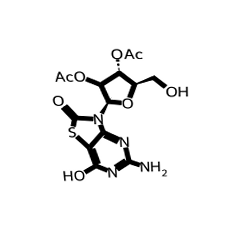 CC(=O)OC1[C@H](n2c(=O)sc3c(O)nc(N)nc32)O[C@H](CO)[C@H]1OC(C)=O